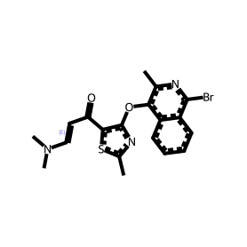 Cc1nc(Oc2c(C)nc(Br)c3ccccc23)c(C(=O)/C=C/N(C)C)s1